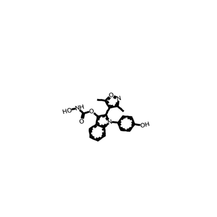 Cc1noc(C)c1-c1c(OC(=O)NO)c2ccccc2n1-c1ccc(O)cc1